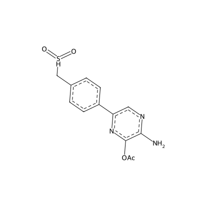 CC(=O)Oc1nc(-c2ccc(C[SH](=O)=O)cc2)cnc1N